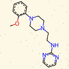 COc1ccccc1N1CCN(CCNc2ncccn2)CC1